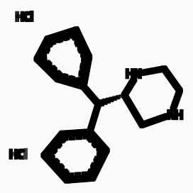 Cl.Cl.c1ccc(C(c2ccccc2)[C@H]2CNCCN2)cc1